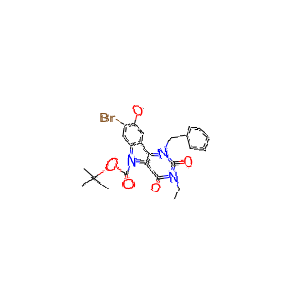 CCn1c(=O)c2c(c3cc(OC)c(Br)cc3n2C(=O)OC(C)(C)C)n(Cc2ccccc2)c1=O